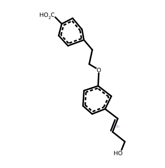 O=C(O)c1ccc(CCOc2cccc(/C=C/CO)c2)cc1